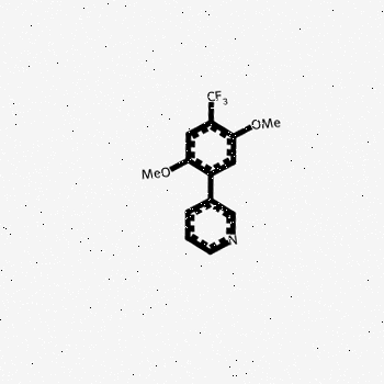 COc1cc(C(F)(F)F)c(OC)cc1-c1cccnc1